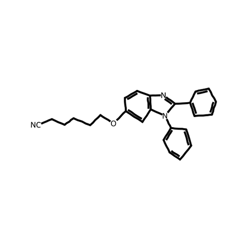 N#CCCCCCOc1ccc2nc(-c3ccccc3)n(-c3ccccc3)c2c1